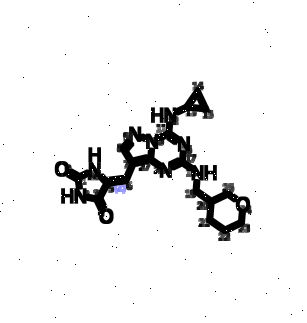 O=C1NC(=O)/C(=C/c2cnn3c(NC4CC4)nc(NCC4CCCOC4)nc23)N1